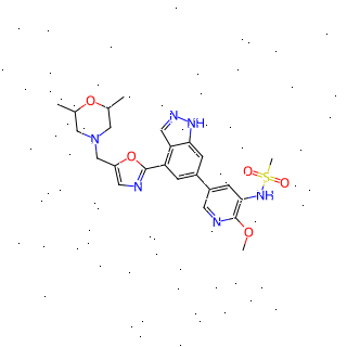 COc1ncc(-c2cc(-c3ncc(CN4CC(C)OC(C)C4)o3)c3cn[nH]c3c2)cc1NS(C)(=O)=O